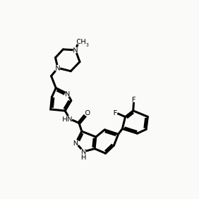 CN1CCN(Cc2ccc(NC(=O)c3n[nH]c4ccc(-c5cccc(F)c5F)cc34)cn2)CC1